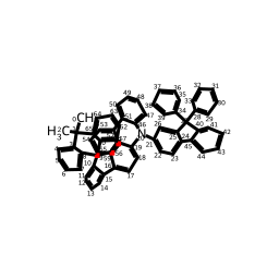 CC1(C)c2ccccc2C2(c3ccccc3-c3ccc(N(c4ccc5c(c4)C(c4ccccc4)(c4ccccc4)c4ccccc4-5)c4ccccc4-c4ccccc4)cc32)c2ccccc21